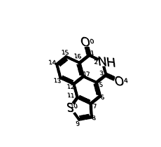 O=C1NC(=O)c2cc3ccsc3c3cccc1c23